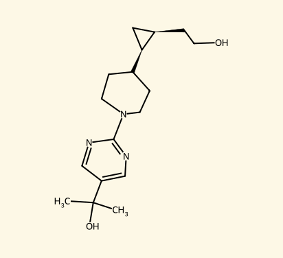 CC(C)(O)c1cnc(N2CCC([C@H]3C[C@H]3CCO)CC2)nc1